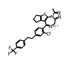 Cc1nnc2n1-c1sc3c(c1C(c1ccc(CCc4ccc(C(F)(F)F)cc4)cc1Cl)=N[C@H]2C)CCC3